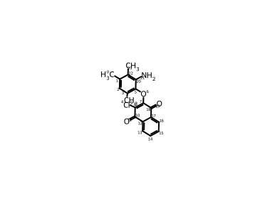 Cc1cc(C)c(OC2=C(Cl)C(=O)c3ccccc3C2=O)c(N)c1C